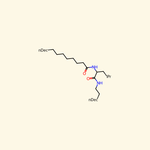 CCCCCCCCCCCCCCCCCC(=O)NC(CC(C)C)C(=O)NCCCCCCCCCCCC